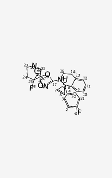 Fc1ccc([SH]23(C=C2)c2ccccc2CCN3C2=NO[C@@]3(CN4CCC3(F)CC4)O2)cc1